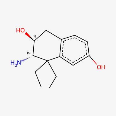 CCC1(CC)c2cc(O)ccc2C[C@H](O)[C@H]1N